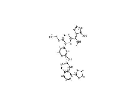 CN/C(=C1/C=CNC1=N)N1CCN(CCO)C(c2cccc(NC(=O)Nc3c(F)cccc3N3CCCC3)c2)C1